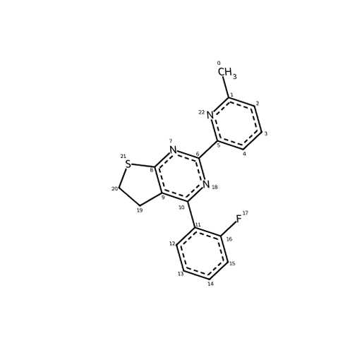 Cc1cccc(-c2nc3c(c(-c4ccccc4F)n2)CCS3)n1